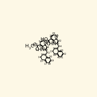 COC(=O)c1ccnc2cc(CC3CCCc4ccccc43)[nH]c12.O=C(O)c1ccnc2cc(CC3CCCc4ccccc43)[nH]c12